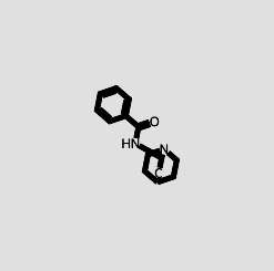 O=C(NC1CC2CCN1CC2)c1ccccc1